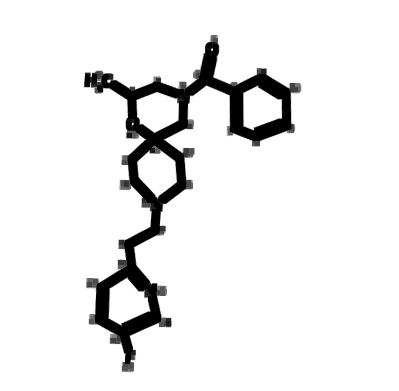 CC1CN(C(=O)c2ccccc2)CC2(CCN(CCc3ccc(F)cn3)CC2)O1